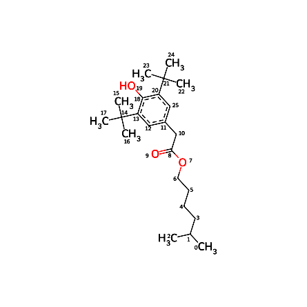 CC(C)CCCCOC(=O)Cc1cc(C(C)(C)C)c(O)c(C(C)(C)C)c1